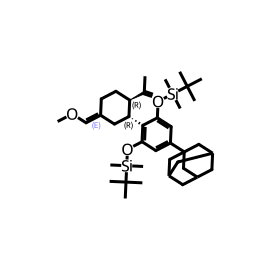 C=C(C)[C@@H]1CC/C(=C\OC)C[C@H]1c1c(O[Si](C)(C)C(C)(C)C)cc(C23CC4CC(CC(C4)C2)C3)cc1O[Si](C)(C)C(C)(C)C